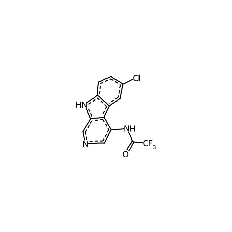 O=C(Nc1cncc2[nH]c3ccc(Cl)cc3c12)C(F)(F)F